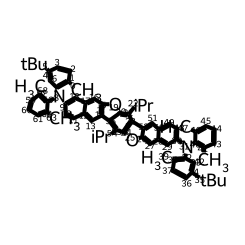 Cc1ccc(C(C)(C)C)cc1N(c1ccc2cc3c(cc2c1)oc1c(C(C)C)c2c(oc4cc5cc(N(c6cc(C(C)(C)C)ccc6C)c6c(C)cccc6C)ccc5cc42)c(C(C)C)c13)c1c(C)cccc1C